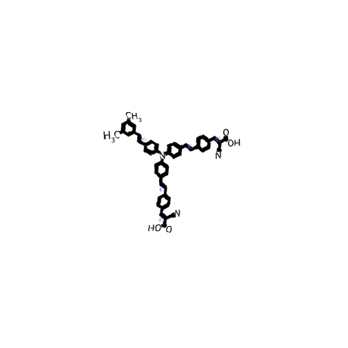 Cc1cc(C)cc(/C=C/c2ccc(N(c3ccc(/C=C/c4ccc(/C=C(\C#N)C(=O)O)cc4)cc3)c3ccc(/C=C/c4ccc(/C=C(\C#N)C(=O)O)cc4)cc3)cc2)c1